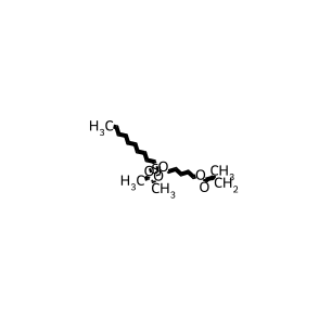 C=C(C)C(=O)OCCCCCO[Si](CCCCCCCCCC)(OCC)OCC